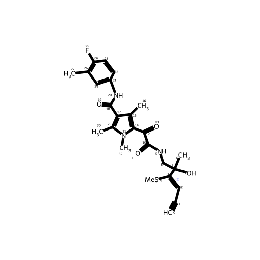 C#C/C=C(\SC)C(C)(O)CNC(=O)C(=O)c1c(C)c(C(=O)Nc2ccc(F)c(C)c2)c(C)n1C